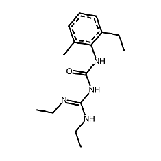 CCN=C(NCC)NC(=O)Nc1c(C)cccc1CC